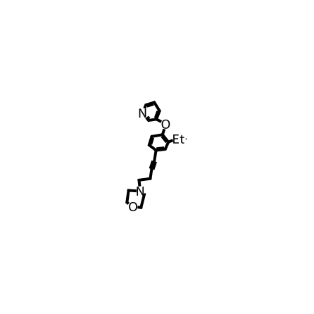 C[CH]c1cc(C#CCCN2CCOCC2)ccc1Oc1cccnc1